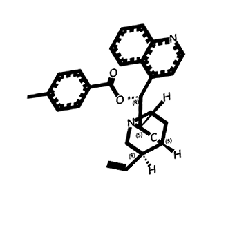 C=C[C@H]1CN2CC[C@H]1C[C@H]2[C@H](OC(=O)c1ccc(C)cc1)c1ccnc2ccccc12